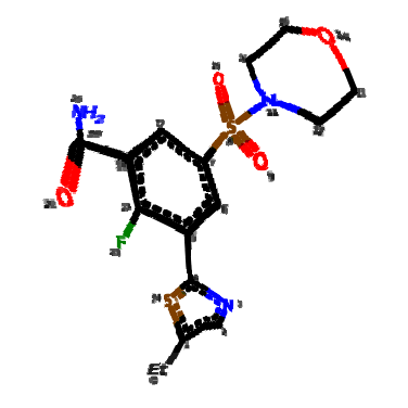 CCc1cnc(-c2cc(S(=O)(=O)N3CCOCC3)cc(C(N)=O)c2F)s1